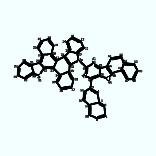 c1ccc2cc(-c3nc(-n4c5ccccc5c5c6c7ccccc7c7c8ccccc8sc7c6c6ccccc6c54)nc4c3oc3c5ccccc5ccc43)ccc2c1